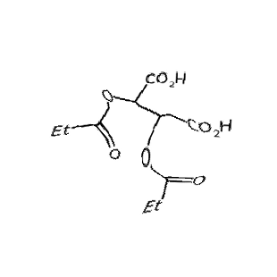 CCC(=O)OC(C(=O)O)C(OC(=O)CC)C(=O)O